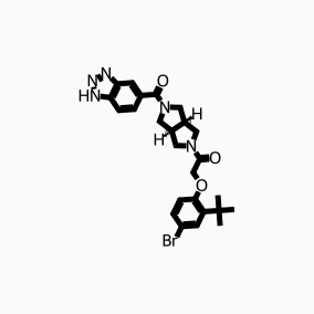 CC(C)(C)c1cc(Br)ccc1OCC(=O)N1C[C@H]2CN(C(=O)c3ccc4[nH]nnc4c3)C[C@@H]2C1